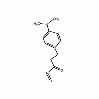 CC(C)c1ccc(CCC(=O)N=O)cc1